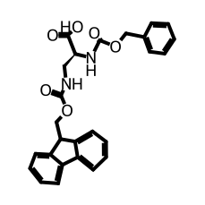 O=C(NC[C@H](NC(=O)OCc1ccccc1)C(=O)O)OCC1c2ccccc2-c2ccccc21